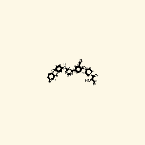 CN1CC[C@H](Oc2ccc(Nc3ncnc(-c4ccc(OC5CCN(C(=O)[C@H](O)CF)CC5)c(C#N)c4)n3)cc2)[C@H](F)C1